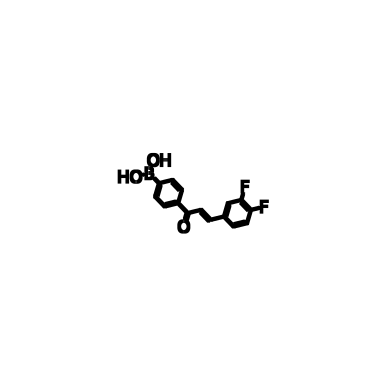 O=C(/C=C/c1ccc(F)c(F)c1)c1ccc(B(O)O)cc1